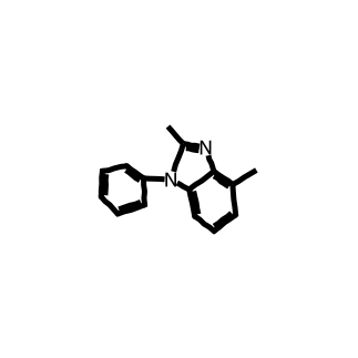 Cc1cccc2c1nc(C)n2-c1ccccc1